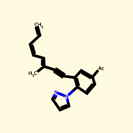 C=C/C=C\C=C(/C)C#Cc1cc(C(C)=O)ccc1-n1cccn1